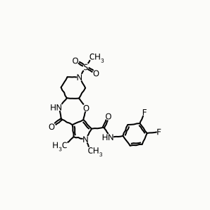 Cc1c2c(c(C(=O)Nc3ccc(F)c(F)c3)n1C)OC1CN(S(C)(=O)=O)CCC1NC2=O